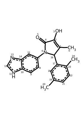 CC1=C(O)C(=O)N(c2ccc3[nH]cnc3c2)C1c1cc(C)ccc1C